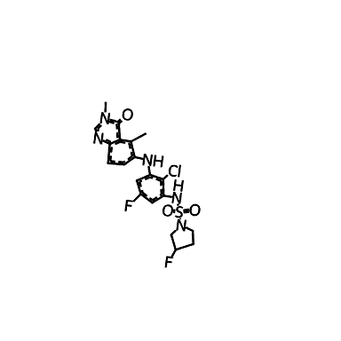 Cc1c(Nc2cc(F)cc(NS(=O)(=O)N3CCC(F)C3)c2Cl)ccc2ncn(C)c(=O)c12